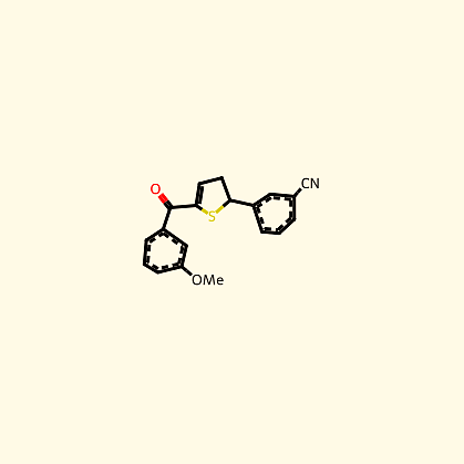 COc1cccc(C(=O)C2=CCC(c3cccc(C#N)c3)S2)c1